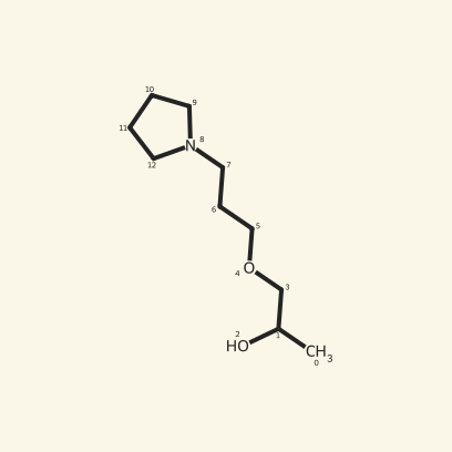 CC(O)COCCCN1CCCC1